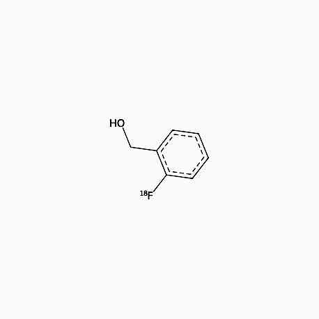 OCc1ccccc1[18F]